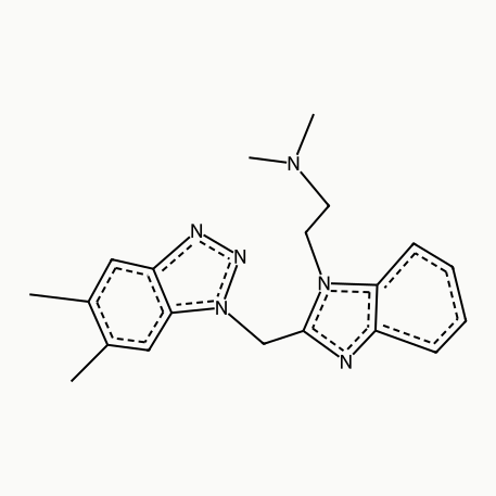 Cc1cc2nnn(Cc3nc4ccccc4n3CCN(C)C)c2cc1C